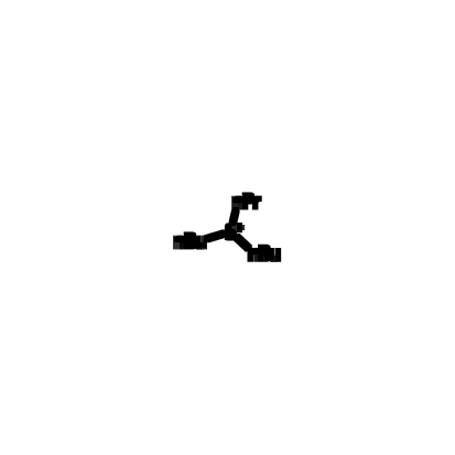 CCCC[S+](CCC)CCCC